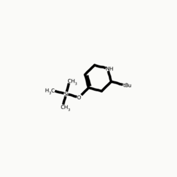 CC(C)(C)C1CC(O[Si](C)(C)C)=CCN1